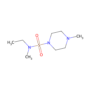 CCN(C)S(=O)(=O)N1CCN(C)CC1